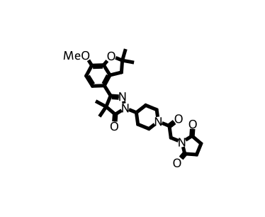 COc1ccc(C2=NN(C3CCN(C(=O)CN4C(=O)CCC4=O)CC3)C(=O)C2(C)C)c2c1OC(C)(C)C2